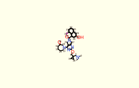 CN(C)CC1(COc2nc3c(c(N4CCCCC(=O)C4)n2)CN(C(=O)c2cc(O)cc4cccc(I)c24)C3)CC1